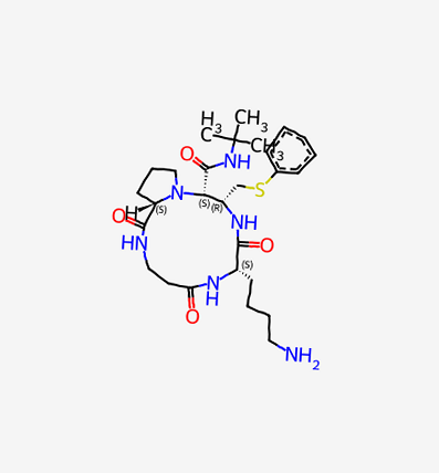 CC(C)(C)NC(=O)[C@@H]1[C@H](CSc2ccccc2)NC(=O)[C@H](CCCCN)NC(=O)CCNC(=O)[C@@H]2CCCN12